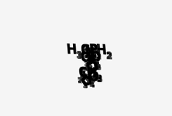 C[C@@H]1CCC[C@H]1Oc1ccc(S(=O)(=O)N(C)P)cc1